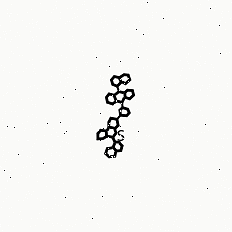 c1cc(-c2ccc3c4ccccc4c4c(sc5ccc6ccccc6c54)c3c2)cc(-c2c3ccccc3c(-c3cccc4ccccc34)c3ccccc23)c1